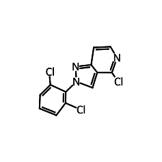 Clc1cccc(Cl)c1-n1cc2c(Cl)nccc2n1